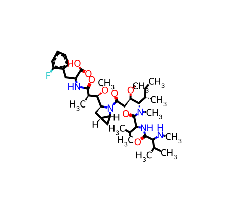 CC[C@H](C)[C@@H]([C@@H](CC(=O)N1[C@H]2C[C@H]2C[C@H]1[C@H](OC)[C@@H](C)C(=O)NC(Cc1ccccc1F)C(=O)O)OC)N(C)C(=O)C(NC(=O)C(NC)C(C)C)C(C)C